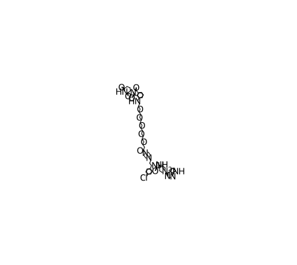 NC1(C(=O)NC(CCN2CCN(C(=O)CCOCCOCCOCCOCCOCCNc3cccc4c3C(=O)N(C3CCC(=O)NC3=O)C4=O)CC2)c2ccc(Cl)cc2)CCN(c2ncnc3[nH]ccc23)CC1